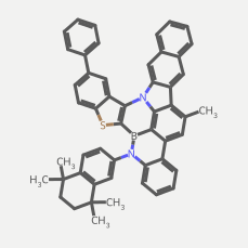 Cc1cc2c3c4c1c1cc5ccccc5cc1n4-c1c(sc4ccc(-c5ccccc5)cc14)B3N(c1ccc3c(c1)C(C)(C)CCC3(C)C)c1ccccc1-2